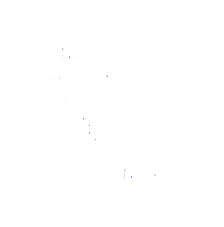 CN(C)C(=O)C1=CC=C(CC2CCC2)C([C@@H]2CC3(CCC(c4ccccc4)(N(C)C)CC3)NN2)C1=O